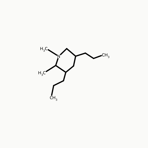 CCCC1CC(CCC)C(C)N(C)C1